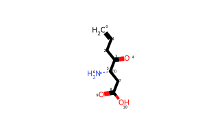 C=CCC(=O)[C@@H](N)CC(=O)O